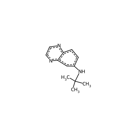 CC(C)(C)Nc1ccc2nccnc2c1